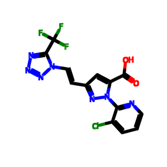 O=C(O)c1cc(C=Cn2nnnc2C(F)(F)F)nn1-c1ncccc1Cl